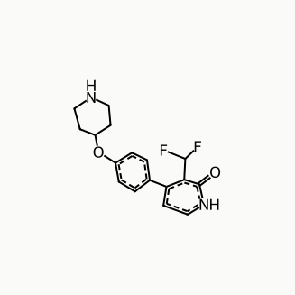 O=c1[nH]ccc(-c2ccc(OC3CCNCC3)cc2)c1C(F)F